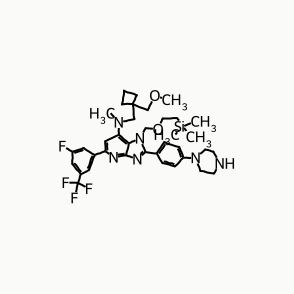 COCC1(CN(C)c2cc(-c3cc(F)cc(C(F)(F)F)c3)nc3nc(-c4ccc(N5CCNCC5)cc4)n(COCC[Si](C)(C)C)c23)CCC1